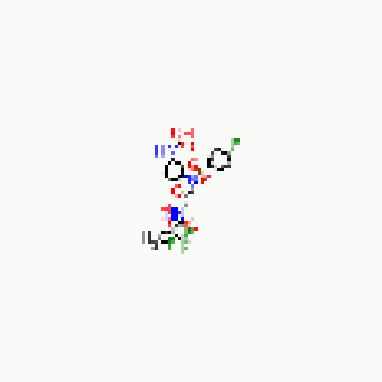 CC(O)(C(=O)NC[C@H]1CN(S(=O)(=O)c2ccc(F)cc2)c2cc(NC(=O)O)ccc2O1)C(F)(F)F